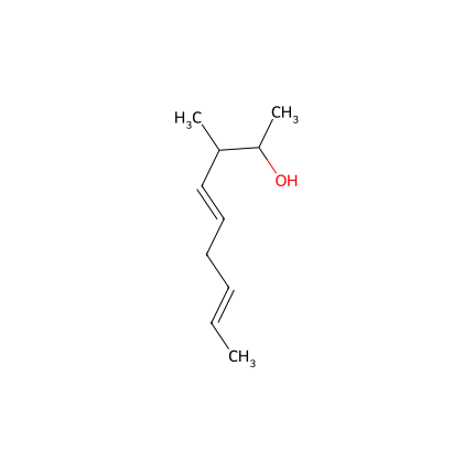 CC=CCC=CC(C)C(C)O